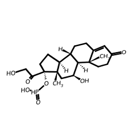 C[C@]12CCC(=O)C=C1CC[C@@H]1[C@@H]2[C@@H](O)C[C@@]2(C)[C@H]1CC[C@]2(O[PH](=O)O)C(=O)CO